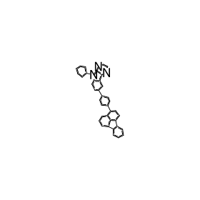 c1ccc(-n2c3ccc(-c4ccc(-c5ccc6c7c(cccc57)-c5ccccc5-6)cc4)cc3c3nccnc32)cc1